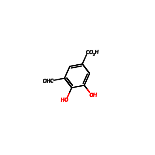 O=Cc1cc(C(=O)O)cc(O)c1O